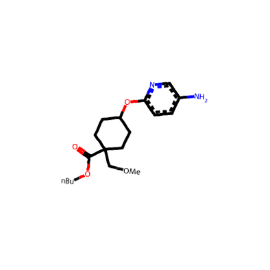 CCCCOC(=O)C1(COC)CCC(Oc2ccc(N)cn2)CC1